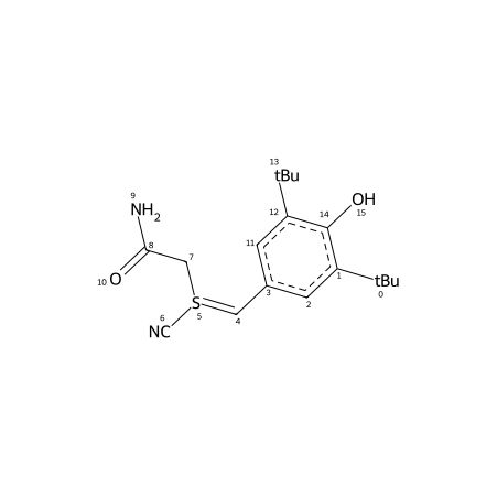 CC(C)(C)c1cc(C=S(C#N)CC(N)=O)cc(C(C)(C)C)c1O